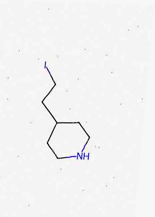 ICCC1CCNCC1